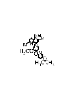 CCO[C@H]1CN(c2cc(=O)n(C)c3ccc(C#N)nc23)CC[C@@H]1Oc1ccc(OC(C)C)cn1